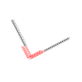 O.O.O.O.O.O.O.O.O.O.O.O.O.O.[K+].[K+].[K+].[K+].[K+].[K+].[K+].[K+].[K+].[K+].[K+].[K+].[K+].[K+].[K+].[K+].[K+].[K+].[K+].[K+].[K+].[K+].[K+].[K+].[K+].[K+].[K+].[K+].[K+]